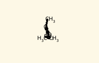 CCCCCCCCOc1ccc(-c2ccc(C(=O)OC3CC(C)CCC3C(C)C)cc2)cc1